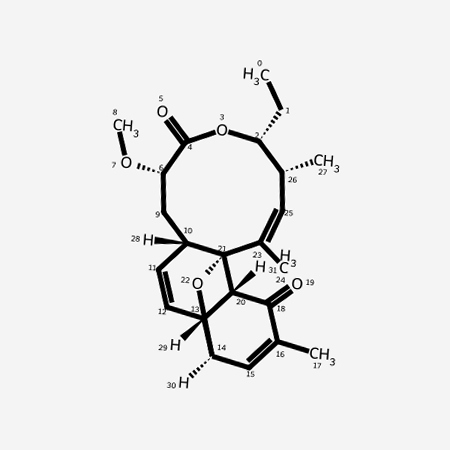 CC[C@H]1OC(=O)[C@@H](OC)C[C@H]2C=C[C@H]3[C@@H]4C=C(C)C(=O)[C@H]3[C@]2(O4)C(C)=C[C@H]1C